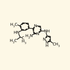 Cc1cc(Nc2cnc(-c3ccc(C)c(NC(C)C)c3)c(N)n2)n[nH]1